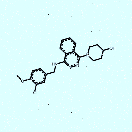 COc1ccc(CNc2nnc(N3CCC(O)CC3)c3ccccc23)cc1Cl